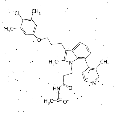 Cc1cnccc1-c1cccc2c(CCCOc3cc(C)c(Cl)c(C)c3)c(C)n(CCC(=O)N[S+](C)[O-])c12